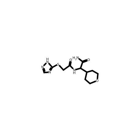 NC(=O)C(NC(=O)CSc1ncn[nH]1)C1CCOCC1